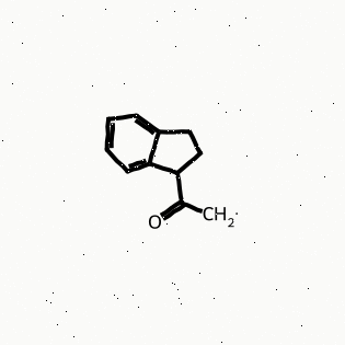 [CH2]C(=O)C1CCc2ccccc21